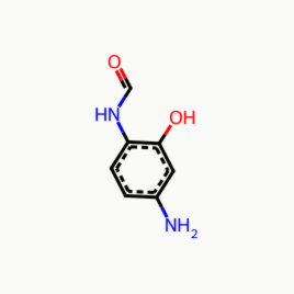 Nc1ccc(NC=O)c(O)c1